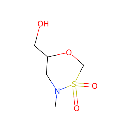 CN1CC(CO)OCS1(=O)=O